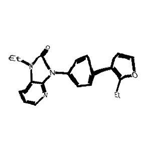 CCc1occc1-c1ccc(-n2c(=O)n(CC)c3cccnc32)cc1